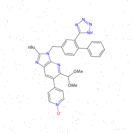 CCCCc1nc2cc(-c3cc[n+]([O-])cc3)c(C(OC)OC)nc2n1Cc1ccc(-c2ccccc2)c(-c2nnn[nH]2)c1